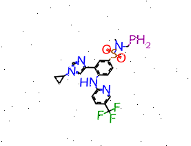 CN(CP)S(=O)(=O)c1ccc(Nc2ccc(C(F)(F)F)cn2)c(-c2cn(C3CC3)cn2)c1